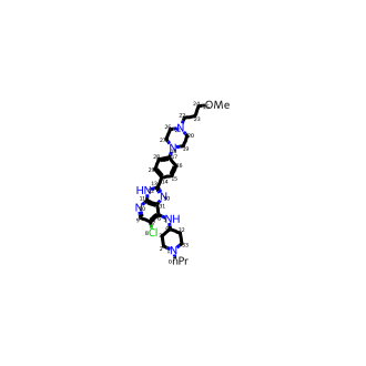 CCCN1CCC(Nc2c(Cl)cnc3[nH]c(-c4ccc(N5CCN(CCCOC)CC5)cc4)nc23)CC1